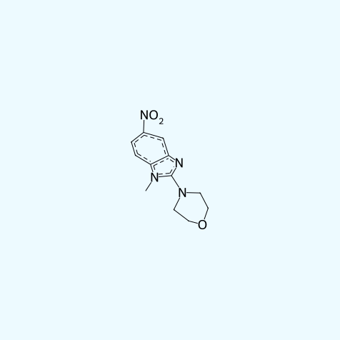 Cn1c(N2CCOCC2)nc2cc([N+](=O)[O-])ccc21